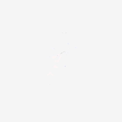 CC(=O)NCC1NC(=N)N2C[C@H](NC(=O)c3cccc4c3OCCC4(C)C)C(O)(O)C23NC(=N)NC13